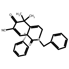 CC1(C)C(=O)C(C#N)=C[C@]2(c3ccccc3)C(=O)N(Cc3ccccc3)CC=C12